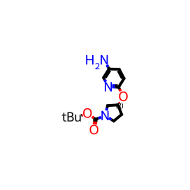 CC(C)(C)OC(=O)N1CC[C@@H](Oc2ccc(N)cn2)C1